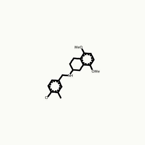 COc1ccc(OC)c2c1CCC(NCc1ccc(Cl)c(C)c1)C2